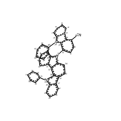 N#Cc1ccc(-n2c3ccccc3c3c2ccc2c4ccccc4n(-c4ccccc4)c23)c2c1c1ccccc1n2-c1ccccc1